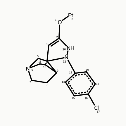 CCOC1=CC2(CN3CCC2CC3)N(c2ccc(Cl)cc2)N1